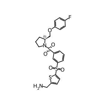 NCc1ccc(S(=O)(=O)c2cccc(S(=O)(=O)N3CCC[C@H]3COc3ccc(F)cc3)c2)s1